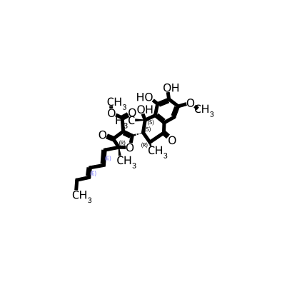 CC/C=C/C=C/[C@@]1(C)OC([C@H]2[C@@H](C)C(=O)c3cc(OC)c(O)c(O)c3[C@@]2(C)O)=C(C(=O)OC)C1=O